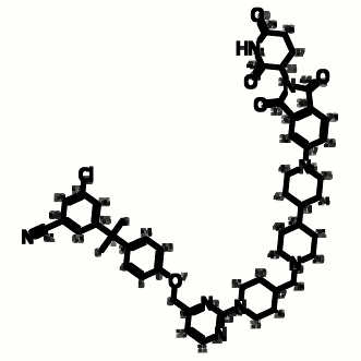 CC(C)(c1ccc(OCc2ccnc(N3CCC(CN4CCC(C5CCN(c6ccc7c(c6)C(=O)N(C6CCC(=O)NC6=O)C7=O)CC5)CC4)CC3)n2)cc1)c1cc(Cl)cc(C#N)c1